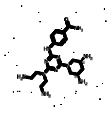 NCCN(CCN)c1nc(Nc2ccc(C(N)=O)cc2)nc(N2C[C@H](N)C[C@H](N)C2)n1